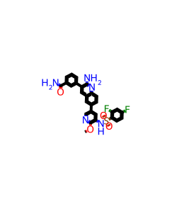 COc1ncc(-c2ccc3nc(N)c(-c4cccc(C(N)=O)c4)cc3c2)cc1NS(=O)(=O)c1ccc(F)cc1F